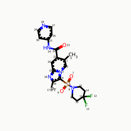 Cc1cn2c(S(=O)(=O)N3CCC(F)(F)CC3)c(C(C)C)nc2cc1C(=O)Nc1ccncc1